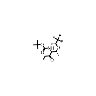 C[C@H](O[C@H](C)[C@H](NC(=O)OC(C)(C)C)C(=O)CI)C(F)(F)F